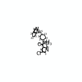 Cc1ncc(Cl)cc1C(=O)N[C@H]1CC[C@H](Cn2ncc3c2CCC3)CC1